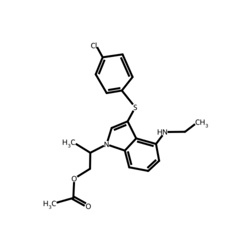 CCNc1cccc2c1c(Sc1ccc(Cl)cc1)cn2C(C)COC(C)=O